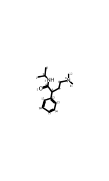 CC(C)NC(=O)C(CCN(C)C)c1ccccc1